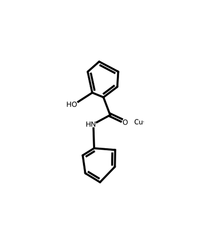 O=C(Nc1ccccc1)c1ccccc1O.[Cu]